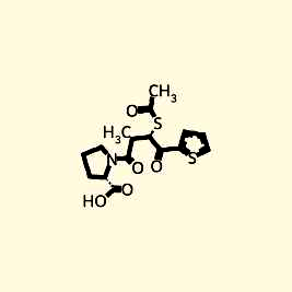 CC(=O)S[C@H](C(=O)c1cccs1)[C@@H](C)C(=O)N1CCC[C@H]1C(=O)O